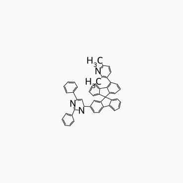 Cc1ccc(-c2cccc3c2-c2ccccc2C32c3ccccc3-c3ccc(-c4cc(-c5ccccc5)nc(-c5ccccc5)n4)cc32)c(C)n1